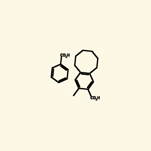 Cc1cc2c(cc1C(=O)O)CCCCCC2.O=C(O)c1ccccc1